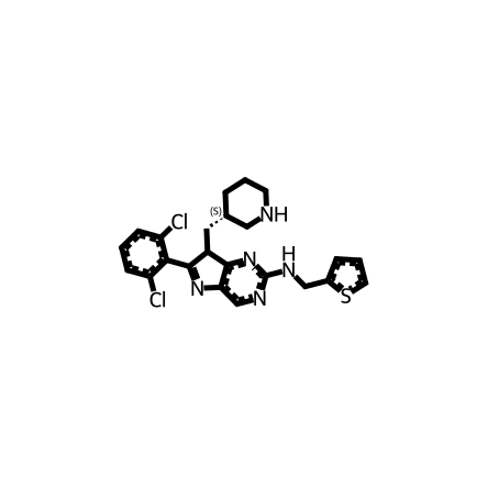 Clc1cccc(Cl)c1C1=Nc2cnc(NCc3cccs3)nc2C1C[C@@H]1CCCNC1